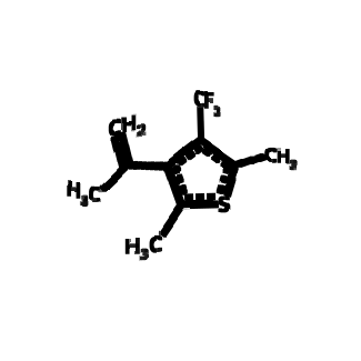 C=C(C)c1c(C)sc(C)c1C(F)(F)F